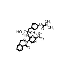 CCN(CC)c1ncc(N2OCc3ccccc3C2=O)c(N[C@@](C)(CC2=CCC(OC(=O)N(C)C)C=C2)C(=O)O)n1